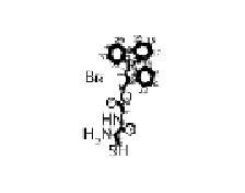 N[C@@H](CS)C(=O)NCC(=O)OCCC[P+](c1ccccc1)(c1ccccc1)c1ccccc1.[Br-]